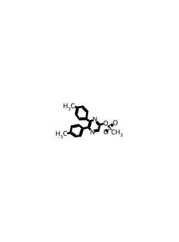 Cc1ccc(-c2ncc(OS(C)(=O)=O)nc2-c2ccc(C)cc2)cc1